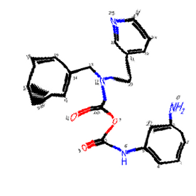 Nc1cccc(NC(=O)OC(=O)N(Cc2ccccc2)Cc2cccnc2)c1